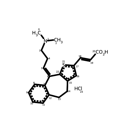 CN(C)CCC=C1c2ccccc2CCc2cc(C=CC(=O)O)sc21.Cl